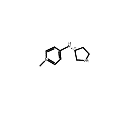 C[n+]1ccc(N[C@@H]2CCNC2)cc1